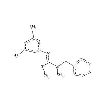 CSC(=Nc1cc(C)cc(C)c1)N(C)Cc1ccccc1